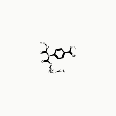 CC(=O)O.CC(C)(C)OC(=O)N(C(=O)OC(C)(C)C)c1ccc(C(=N)N)cc1